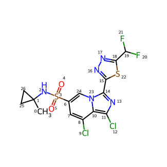 CC1(NS(=O)(=O)c2cc(Cl)c3c(Cl)nc(-c4nnc(C(F)F)s4)n3c2)CC1